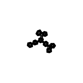 c1ccc(-c2ccc(-c3cc(-c4ccc(-n5c6ccccc6c6ccccc65)cc4)cc(-n4c5ccccc5c5ccccc54)c3)cc2)cc1